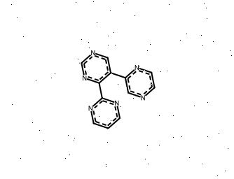 [c]1ncc(-c2cnccn2)c(-c2ncccn2)n1